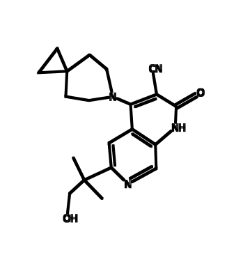 CC(C)(CO)c1cc2c(N3CCC4(CC3)CC4)c(C#N)c(=O)[nH]c2cn1